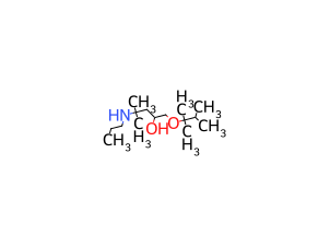 CCCNC(C)(C)CC(O)COC(C)(C)C(C)C